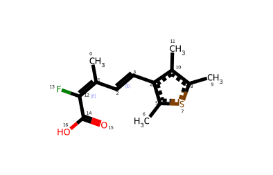 CC(/C=C/c1c(C)sc(C)c1C)=C(\F)C(=O)O